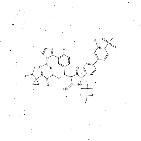 CC(C)(C[C@]1(c2ccc(-c3ccc(S(C)(=O)=O)c(F)c3)cc2)NC(=N)N([C@H](COC(=O)NC2(C(F)F)CC2)c2ccc(Cl)c(-c3ncnn3C(F)F)c2)C1=O)C(F)(F)F